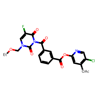 CCOCn1cc(F)c(=O)n(C(=O)c2cccc(C(=O)Oc3cc(OC(C)=O)c(Cl)cn3)c2)c1=O